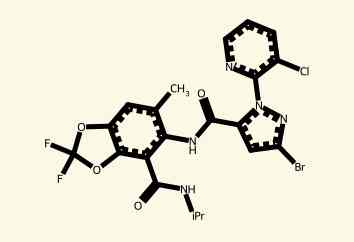 Cc1cc2c(c(C(=O)NC(C)C)c1NC(=O)c1cc(Br)nn1-c1ncccc1Cl)OC(F)(F)O2